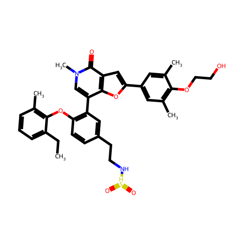 CCc1cccc(C)c1Oc1ccc(CCN[SH](=O)=O)cc1-c1cn(C)c(=O)c2cc(-c3cc(C)c(OCCO)c(C)c3)oc12